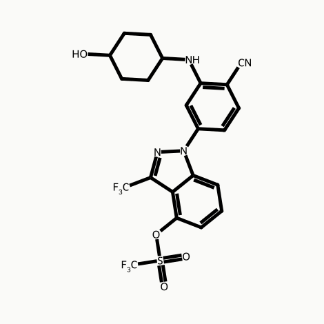 N#Cc1ccc(-n2nc(C(F)(F)F)c3c(OS(=O)(=O)C(F)(F)F)cccc32)cc1NC1CCC(O)CC1